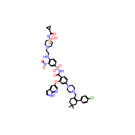 CC1(C)CCC(CN2CCN(c3ccc(C(=O)NS(=O)(=O)c4ccc(NCCN5CC[SH](O)(=NC(=O)C6CC6)CC5)c([N+](=O)[O-])c4)c(Oc4cnc5[nH]ccc5c4)c3)CC2)=C(c2ccc(Cl)cc2)C1